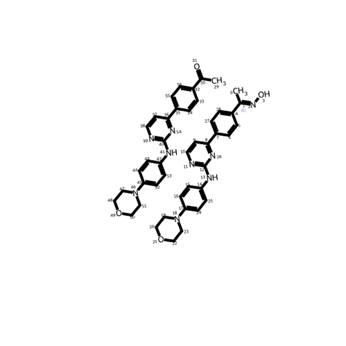 C/C(=N\O)c1ccc(-c2ccnc(Nc3ccc(N4CCOCC4)cc3)n2)cc1.CC(=O)c1ccc(-c2ccnc(Nc3ccc(N4CCOCC4)cc3)n2)cc1